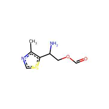 Cc1ncsc1C(N)COC=O